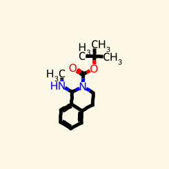 CNC1c2ccccc2CCN1C(=O)OC(C)(C)C